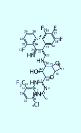 CC(=N)/N=C(\Nc1cc(Cl)ccc1C(F)(F)F)C1OC2COC2C(N/C=C(\C(=N)c2ccccc2F)c2cc(F)c(F)c(F)c2)C1O